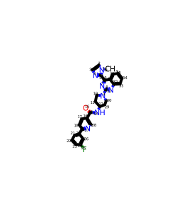 Cn1ccnc1-c1nc(N2CCC(NC(=O)c3ccc(-c4cccc(F)c4)nc3)CC2)nc2ccccc12